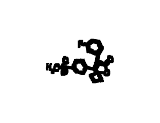 CS(=O)(=O)c1ccc(C2=C(c3cccc(F)c3)C(=O)OC23CCC3)cc1